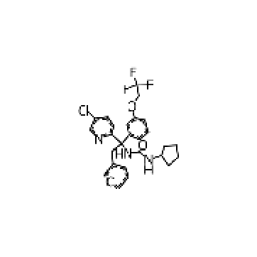 O=C(NC1CCCC1)NC(Cc1ccccc1)(c1cccc(OCC(F)(F)F)c1)c1ccc(Cl)cn1